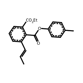 CC=Cc1cccc(C(=O)OCC)c1C(=O)Oc1ccc(C)cc1